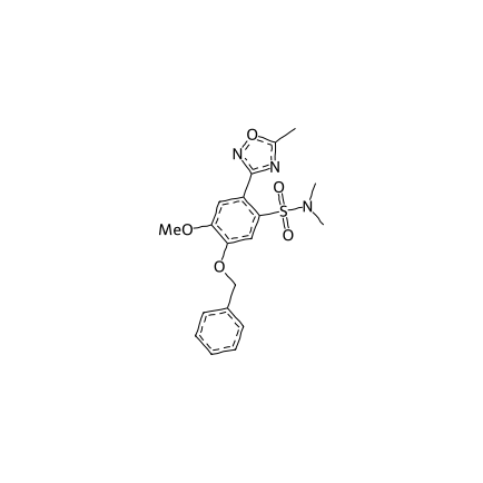 COc1cc(-c2noc(C)n2)c(S(=O)(=O)N(C)C)cc1OCc1ccccc1